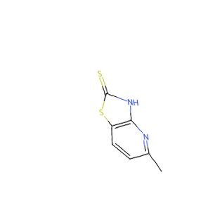 Cc1ccc2sc(=S)[nH]c2n1